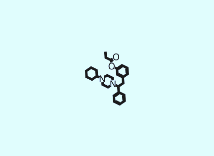 CCC(=O)Oc1cccc(CC(c2ccccc2)N2CCN(C3CCCCC3)CC2)c1